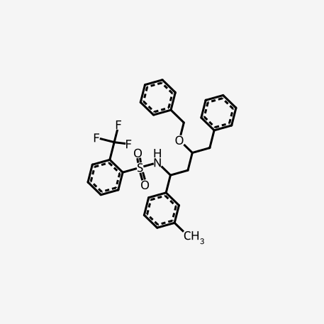 Cc1cccc(C(CC(Cc2ccccc2)OCc2ccccc2)NS(=O)(=O)c2ccccc2C(F)(F)F)c1